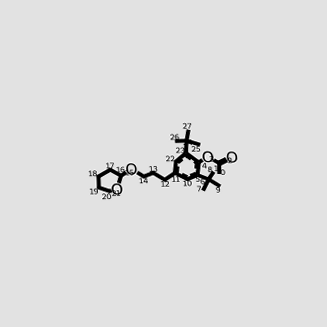 CC(=O)Oc1c(C(C)(C)C)cc(CCCOC2CCCCO2)cc1C(C)(C)C